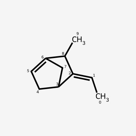 CC=C1C2CC=C(C2)C1C